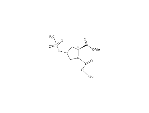 COC(=O)[C@@H]1CC(OS(=O)(=O)C(F)(F)F)CN1C(=O)OC(C)(C)C